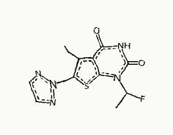 Cc1c(-n2nccn2)sc2c1c(=O)[nH]c(=O)n2C(C)F